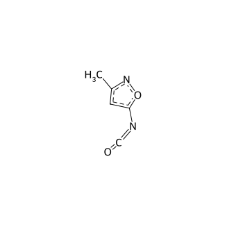 Cc1cc(N=C=O)on1